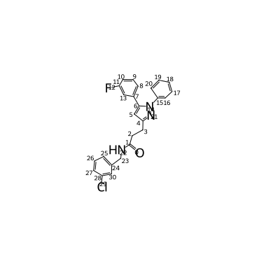 O=C(CCc1cc(-c2cccc(F)c2)n(-c2ccccc2)n1)NCc1cccc(Cl)c1